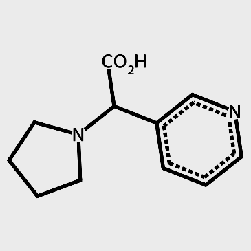 O=C(O)C(c1cccnc1)N1CCCC1